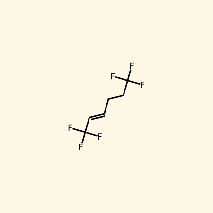 FC(F)(F)/C=C/CCC(F)(F)F